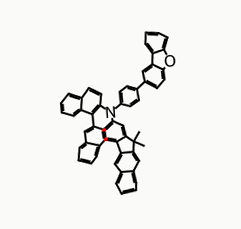 CC1(C)c2cc(N(c3ccc(-c4ccc5oc6ccccc6c5c4)cc3)c3ccc4ccccc4c3-c3ccc4ccccc4c3)ccc2-c2cc3ccccc3cc21